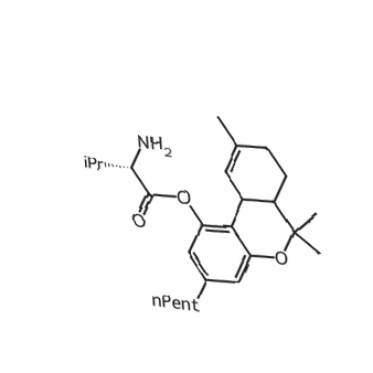 CCCCCc1cc(OC(=O)[C@@H](N)C(C)C)c2c(c1)OC(C)(C)C1CCC(C)=CC21